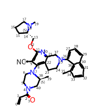 C=CC(=O)N1CCN(c2c(C#N)c(OC[C@@H]3CCCN3C)nc3c2CCN(c2cccc4cccc(C)c24)C3)[C@@H](C)C1